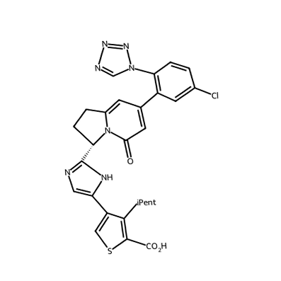 CCCC(C)c1c(-c2cnc([C@@H]3CCc4cc(-c5cc(Cl)ccc5-n5cnnn5)cc(=O)n43)[nH]2)csc1C(=O)O